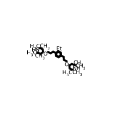 CCc1cc(CCCOC2CC(C)(C)NC(C)(C)C2)ccc1CCCOC1CC(C)(C)NC(C)(C)C1